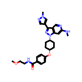 CNc1cc2c(cn1)c(-c1cnn(C)c1)nn2[C@H]1CC[C@@H](Oc2ccc(C(=O)NCCOC)cc2)CC1